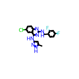 Cc1cc(Nc2nc(NCc3ccc(F)cc3F)nc3ccc(Cl)cc23)n[nH]1